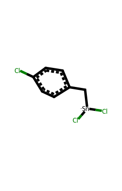 Clc1ccc([CH2][Sn]([Cl])[Cl])cc1